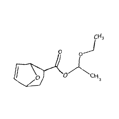 CCOC(C)OC(=O)C1CC2C=CC1O2